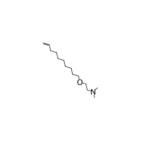 C=CCCCCCCCCOCCN(C)C